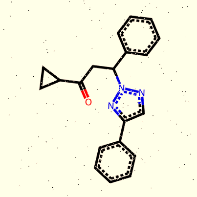 O=C(CC(c1ccccc1)n1ncc(-c2ccccc2)n1)C1CC1